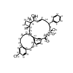 O=C1NS(=O)(=O)C[C@H](c2ccccc2)C/C=C/[C@H](O)[C@@H]2CC[C@H]2CN2CCCCc3cc(Cl)ccc3COc3ccc1cc32